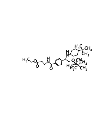 CCOC(=O)CCNC(=O)c1ccc(C(CO[Si](C)(C)C(C)(C)C)NC2CCC(C(C)(C)C)CC2)cc1